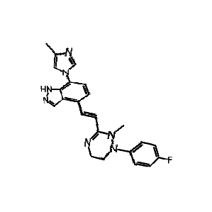 Cc1cn(-c2ccc(/C=C/C3=NCCN(c4ccc(F)cc4)N3C)c3cn[nH]c23)cn1